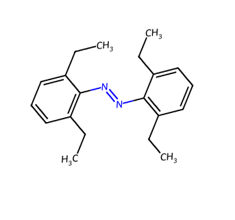 CCc1cccc(CC)c1/N=N/c1c(CC)cccc1CC